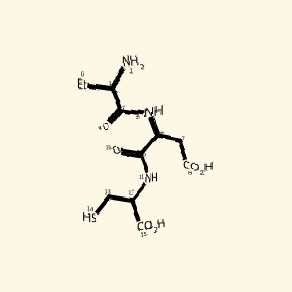 CCC(N)C(=O)NC(CC(=O)O)C(=O)NC(CS)C(=O)O